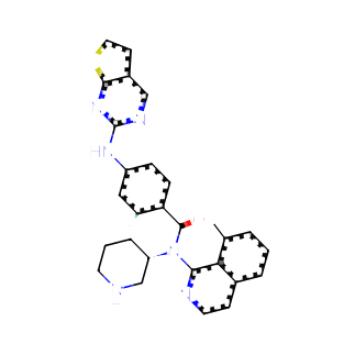 Cc1cccc2ccnc(N(C(=O)c3ccc(Nc4ncc5ccsc5n4)cc3F)[C@@H]3CCCNC3)c12